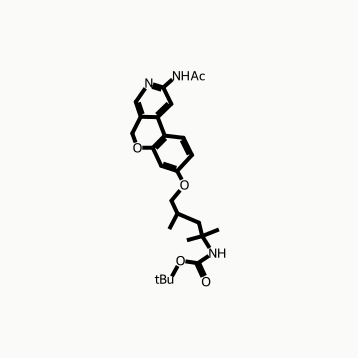 CC(=O)Nc1cc2c(cn1)COc1cc(OCC(C)CC(C)(C)NC(=O)OC(C)(C)C)ccc1-2